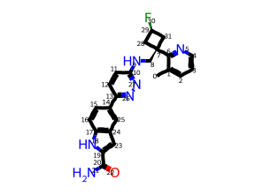 Cc1cccnc1[C@]1(CNc2ccc(-c3ccc4[nH]c(C(N)=O)cc4c3)nn2)C[C@@H](F)C1